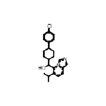 CC(C)c1ccc2cncn2c1C(O)C1CCC(c2ccc(Cl)cc2)CC1